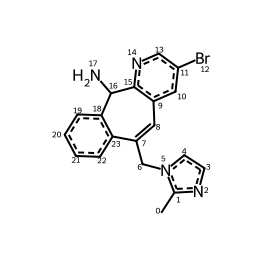 Cc1nccn1CC1=Cc2cc(Br)cnc2C(N)c2ccccc21